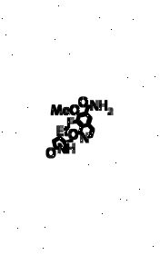 CC[C@@H]1CC(=O)N[C@@H]1COc1nccc2cc(C(N)=O)c(OC)c(F)c12